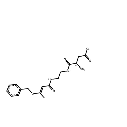 CC(=CC(=O)NCCNC(=O)[C@H](N)CC(=O)O)OCc1ccccc1